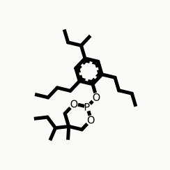 CCCCc1cc(C(C)CC)cc(CCCC)c1OP1OCC(C)(C(C)CC)CO1